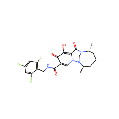 C[C@@H]1CCC[C@@H](C)N2CN1C(=O)c1c(O)c(=O)c(C(=O)NCc3c(F)cc(F)cc3F)cn12